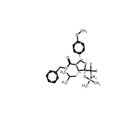 COc1ccc([C@@H]2O[C@@](O[Si](C)(C)C)(C(F)(F)F)[C@H](CC(C)C)N2C(=O)OCc2ccccc2)cc1